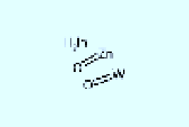 [InH3].[O]=[W].[O]=[Zn]